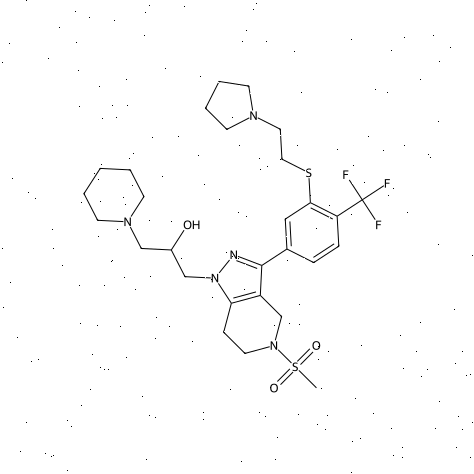 CS(=O)(=O)N1CCc2c(c(-c3ccc(C(F)(F)F)c(SCCN4CCCC4)c3)nn2CC(O)CN2CCCCC2)C1